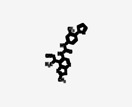 COC(C)c1c(NC(=O)Nc2ccc(-n3cccn3)c(C(F)(F)F)c2)cnc2sc(C)nc12